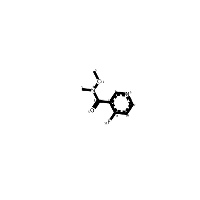 CON(C)C(=O)c1cnccc1F